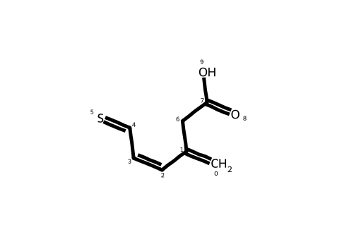 C=C(/C=C\C=S)CC(=O)O